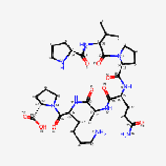 CC(C)[C@H](NC(=O)[C@@H]1CCCN1)C(=O)N1CCC[C@H]1C(=O)N[C@@H](CCC(N)=O)C(=O)N[C@@H](C)C(=O)N[C@@H](CCCCN)C(=O)N1CCC[C@H]1C(=O)O